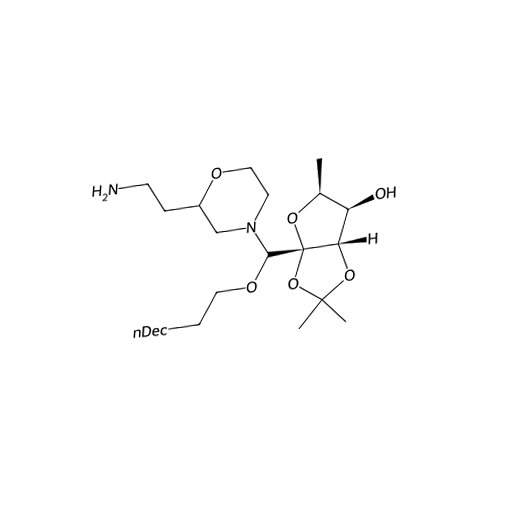 CCCCCCCCCCCCOC(N1CCOC(CCN)C1)[C@@]12O[C@@H](C)[C@@H](O)[C@@H]1OC(C)(C)O2